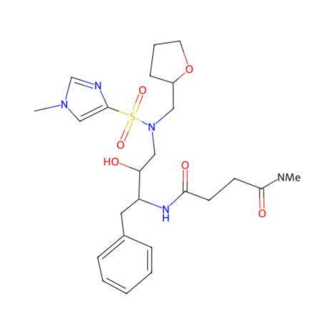 CNC(=O)CCC(=O)NC(Cc1ccccc1)C(O)CN(CC1CCCO1)S(=O)(=O)c1cn(C)cn1